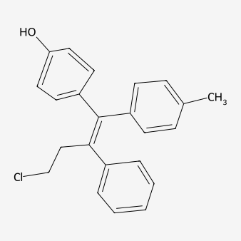 Cc1ccc(/C(=C(/CCCl)c2ccccc2)c2ccc(O)cc2)cc1